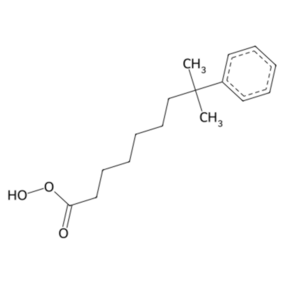 CC(C)(CCCCCCC(=O)OO)c1ccccc1